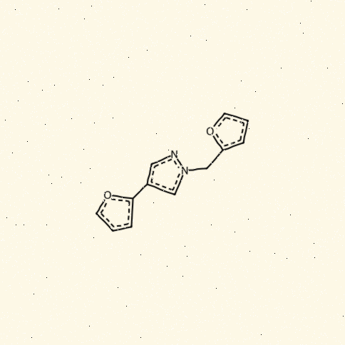 c1coc(Cn2cc(-c3ccco3)cn2)c1